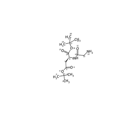 CC(C)(C)OC(=O)C[C@H](NC(=O)CN)C(=O)OC(C)(C)C